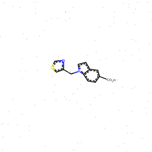 O=C(O)c1ccc2c(ccn2Cc2cscn2)c1